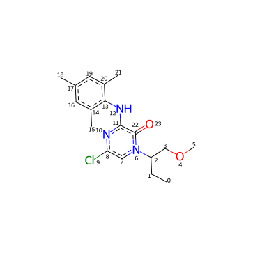 CCC(COC)n1cc(Cl)nc(Nc2c(C)cc(C)cc2C)c1=O